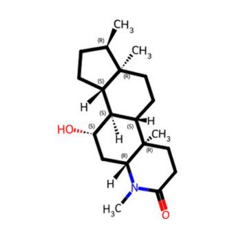 C[C@@H]1CC[C@H]2[C@@H]3[C@@H](O)C[C@H]4N(C)C(=O)CC[C@]4(C)[C@H]3CC[C@]12C